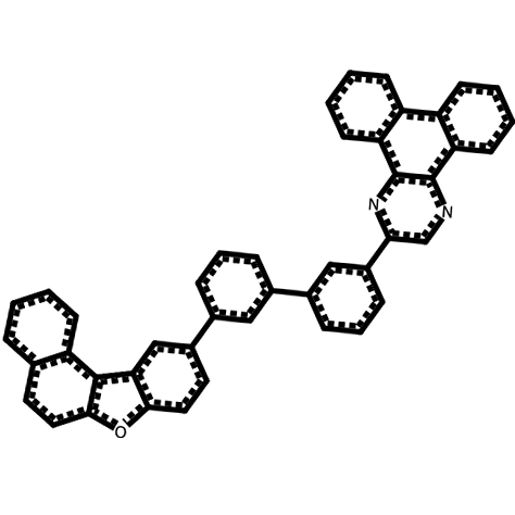 c1cc(-c2cccc(-c3cnc4c5ccccc5c5ccccc5c4n3)c2)cc(-c2ccc3oc4ccc5ccccc5c4c3c2)c1